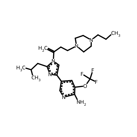 C=C(CCN1CCN(CCC)CC1)n1cc(-c2cnc(N)c(OC(F)(F)F)c2)nc1CC(C)C